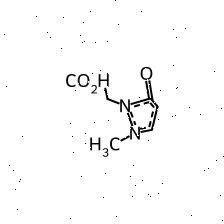 Cn1ccc(=O)n1CC(=O)O